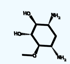 CO[C@H]1[C@H](O)[C@@H](O)[C@H](N)C[C@@H]1N